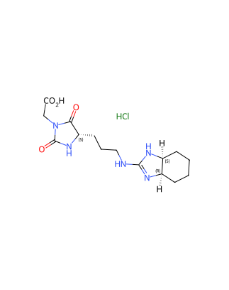 Cl.O=C(O)CN1C(=O)N[C@@H](CCCNC2=N[C@@H]3CCCC[C@@H]3N2)C1=O